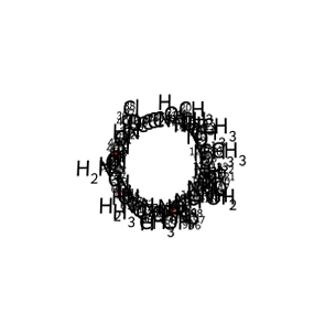 CCCC[C@H]1C(=O)N(C)[C@@H](CCCC)C(=O)N[C@@H](CC(C)C)C(=O)NCCCCC(=O)N[C@@H](Cc2ccc(Cl)cc2)C(=O)N2CCCC[C@H]2C(=O)N[C@@H](CC(N)=O)C(=O)N2CCC[C@H]2C(=O)N[C@@H](CN)C(=O)N[C@@H](CC(C)C)C(=O)N2C[C@H](O)C[C@H]2C(=O)N[C@@H](Cc2c[nH]c3ccccc23)C(=O)N[C@@H](CCN)C(=O)N[C@@H](Cc2cn(CC(=O)O)c3ccccc23)C(=O)N1C